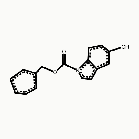 O=C(OCc1ccccc1)n1ccc2cc(O)ccc21